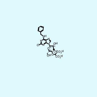 C#C[C@@H](O)[C@@H](O[C@@H](CO)COC(C(=O)O)C(=O)O)n1cnc2c(NCc3ccccc3)nc(Cl)nc21